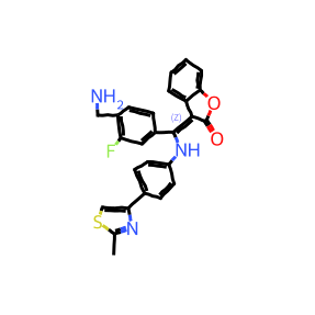 Cc1nc(-c2ccc(N/C(=C3\C(=O)Oc4ccccc43)c3ccc(CN)c(F)c3)cc2)cs1